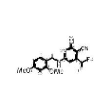 COc1ccc(CNc2cc(C(F)F)c(C#N)c(Cl)n2)c(OC)c1